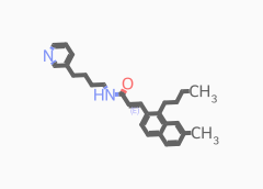 CCCCc1c(/C=C/C(=O)NCCCCc2cccnc2)ccc2ccc(C)cc12